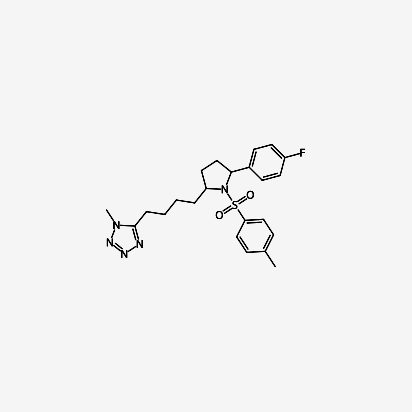 Cc1ccc(S(=O)(=O)N2C(CCCCc3nnnn3C)CCC2c2ccc(F)cc2)cc1